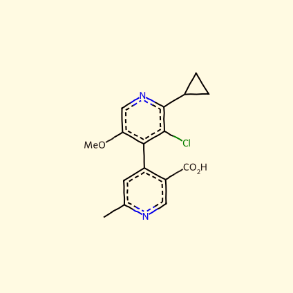 COc1cnc(C2CC2)c(Cl)c1-c1cc(C)ncc1C(=O)O